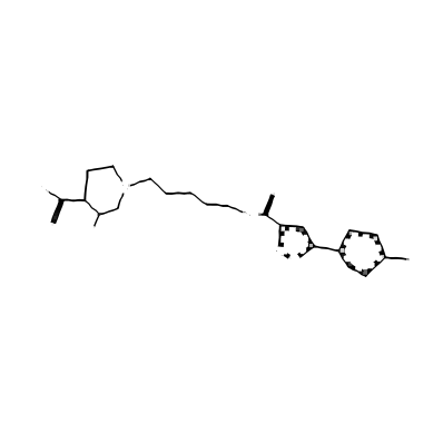 NC(=O)C1CCN(CCCCCNC(=O)c2cc(-c3ccc(F)cc3)on2)CC1O